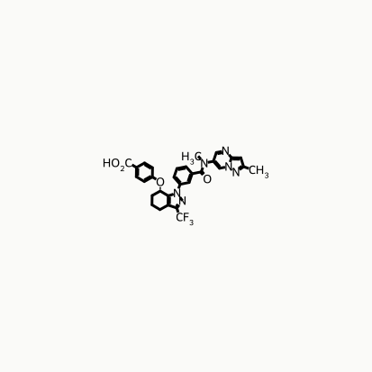 Cc1cc2ncc(N(C)C(=O)c3cccc(-n4nc(C(F)(F)F)c5c4[C@@H](Oc4ccc(C(=O)O)cc4)CCC5)c3)cn2n1